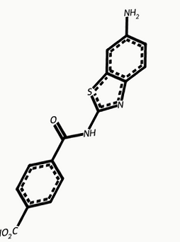 Nc1ccc2nc(NC(=O)c3ccc(C(=O)O)cc3)sc2c1